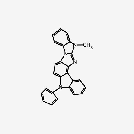 Cn1c2ccccc2n2c3ccc4c(c5ccccc5n4-c4ccccc4)c3nc12